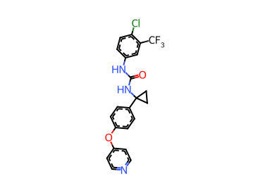 O=C(Nc1ccc(Cl)c(C(F)(F)F)c1)NC1(c2ccc(Oc3ccncc3)cc2)CC1